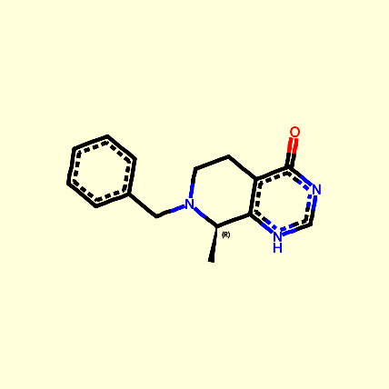 C[C@@H]1c2[nH]cnc(=O)c2CCN1Cc1ccccc1